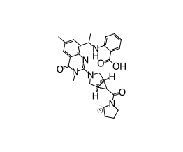 Cc1cc(C(C)Nc2ccccc2C(=O)O)c2nc(N3C[C@@H]4C(C(=O)N5CCC[C@@H]5C)[C@@H]4C3)n(C)c(=O)c2c1